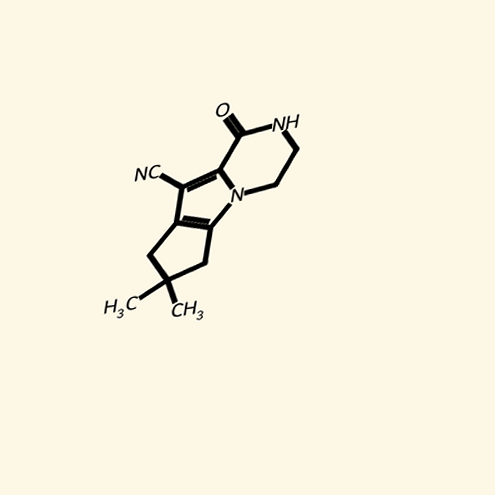 CC1(C)Cc2c(C#N)c3n(c2C1)CCNC3=O